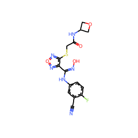 N#Cc1cc(NC(=NO)c2nonc2SCC(=O)NC2COC2)ccc1F